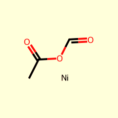 CC(=O)OC=O.[Ni]